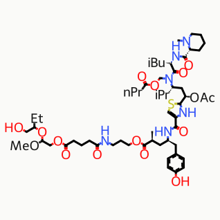 CCCC(=O)OCN(C(=O)[C@@H](NC(=O)[C@H]1CCCCN1C)[C@@H](C)CC)[C@H](C[C@@H](OC(C)=O)C1NC(C(=O)N[C@@H](Cc2ccc(O)cc2)C[C@H](C)C(=O)OCCCNC(=O)CCCC(=O)OCC(OC)OC(CC)CO)=CS1)C(C)C